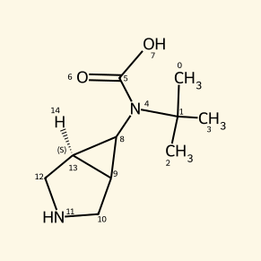 CC(C)(C)N(C(=O)O)C1C2CNC[C@H]21